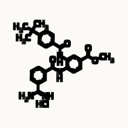 COC(=O)c1ccc(NC(=O)c2cccc(C(=N)N)c2)c(NC(=O)c2ccc(C(C)(C)C)cc2)c1.Cl